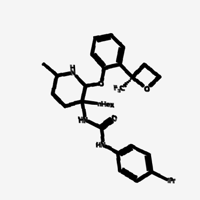 CCCCCCC1(NC(=O)Nc2ccc(C(C)C)cc2)CCC(C)NC1Oc1ccccc1[C@@]1(C(F)(F)F)CCO1